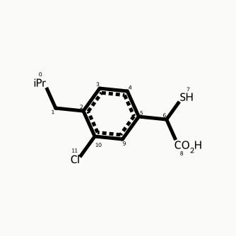 CC(C)Cc1ccc(C(S)C(=O)O)cc1Cl